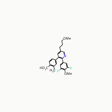 COCCCc1cnc(-c2cc(F)c(OC)c(F)c2)c(-c2ccc(C(=O)O)c(C)c2)c1